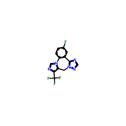 Fc1ccc2c(c1)-c1ncnn1Cc1c(C(F)(F)F)ncn1-2